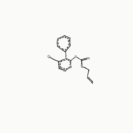 C=CCSC(=O)Oc1nncc(Cl)c1-c1ccccc1